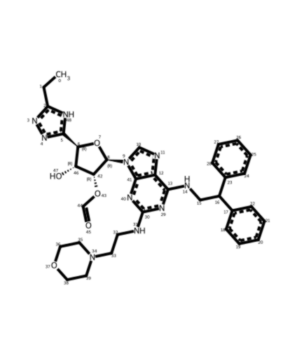 CCc1nnc([C@H]2O[C@@H](n3cnc4c(NCC(c5ccccc5)c5ccccc5)nc(NCCN5CCOCC5)nc43)[C@H](OC=O)[C@@H]2O)[nH]1